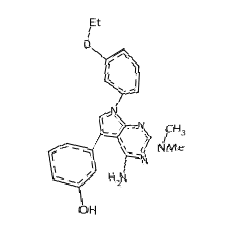 CCOc1cccc(-n2cc(-c3cccc(O)c3)c3c(N)ncnc32)c1.CNC